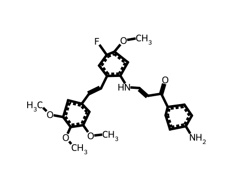 COc1cc(NC=CC(=O)c2ccc(N)cc2)c(C=Cc2cc(OC)c(OC)c(OC)c2)cc1F